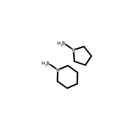 BN1CCCC1.BN1CCCCC1